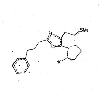 CSCCc1nc(CCCc2ccccc2)oc1N1CCCC1C#N